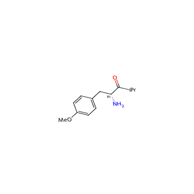 COc1ccc(C[C@@H](N)C(=O)C(C)C)cc1